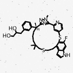 Cn1nc2nc1-c1cc(ccn1)Sc1c(F)cc3[nH]ccc3c1CCSCC(C)(C)CCC[C@]2(C)c1cccc(CC(O)CO)c1